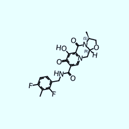 Cc1c(F)ccc(CNC(=O)c2cn3c(c(O)c2=O)C(=O)N2[C@@H](C)CO[C@@H]2C3)c1F